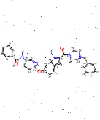 CN(C(=O)c1ccccc1)c1ccc(Oc2ccc3cc(C(=O)N4CCN(Cc5ccccc5)CC4)n(C)c3c2)nc1